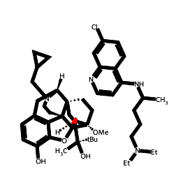 CCN(CC)CCCC(C)Nc1ccnc2cc(Cl)ccc12.CO[C@@]12CC[C@@]3(C[C@@H]1[C@](C)(O)C(C)(C)C)[C@H]1Cc4ccc(O)c5c4[C@@]3(CCN1CC1CC1)[C@H]2O5